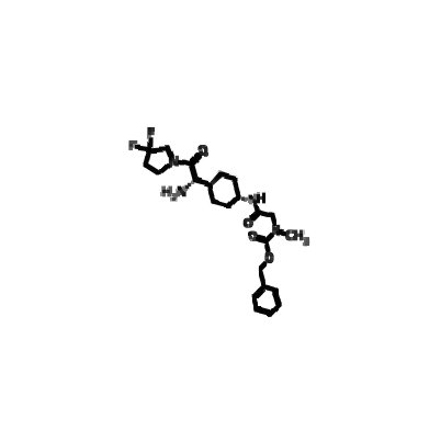 CN(CC(=O)N[C@H]1CC[C@H]([C@H](N)C(=O)N2CCC(F)(F)C2)CC1)C(=O)OCc1ccccc1